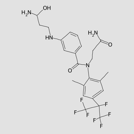 Cc1cc(C(F)(C(F)(F)F)C(F)(F)F)cc(C)c1N(CCC(N)=O)C(=O)c1cccc(NCCC(N)O)c1